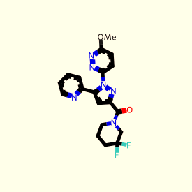 COc1ccc(-n2nc(C(=O)N3CCCC(F)(F)C3)cc2-c2ccccn2)nn1